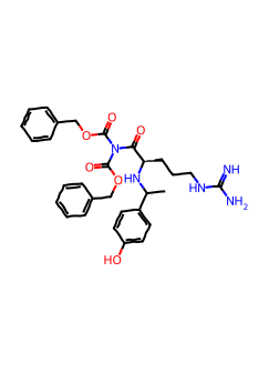 CC(N[C@H](CCCNC(=N)N)C(=O)N(C(=O)OCc1ccccc1)C(=O)OCc1ccccc1)c1ccc(O)cc1